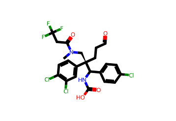 CN(C[C@](CCC=O)(c1ccc(Cl)c(Cl)c1)C(NC(=O)O)c1ccc(Cl)cc1)C(=O)CC(F)(F)F